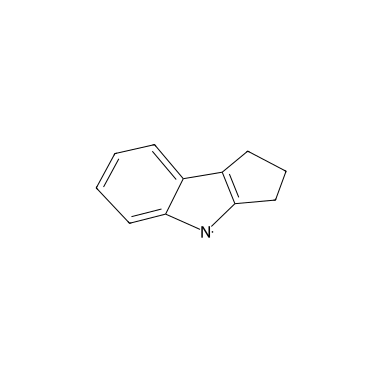 c1ccc2c(c1)[N]C1=C2CCC1